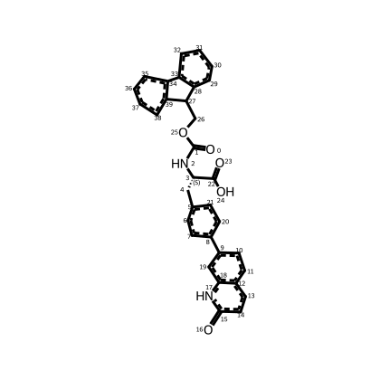 O=C(N[C@@H](Cc1ccc(-c2ccc3ccc(=O)[nH]c3c2)cc1)C(=O)O)OCC1c2ccccc2-c2ccccc21